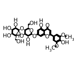 COc1cc(-c2cc(=O)c3c(O)cc(O[C@@H]4O[C@H](CO)[C@@H](O[C@@H]5O[C@H](CO)[C@H](O)[C@H](O)[C@H]5O)[C@H](O)[C@H]4O)cc3o2)cc(OC)c1O